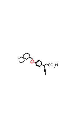 CC#CC(CC(=O)O)C1C=CC(OCC2CCCC3(CCCCC3)C2)=CC1